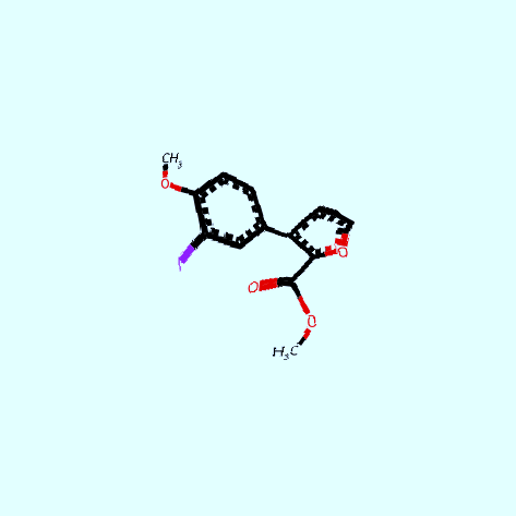 COC(=O)c1occc1-c1ccc(OC)c(I)c1